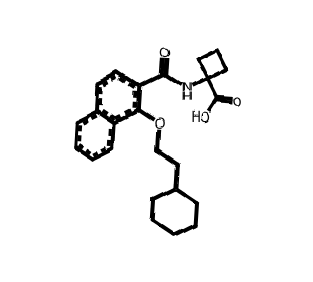 O=C(NC1(C(=O)O)CCC1)c1ccc2ccccc2c1OCCC1CCCCC1